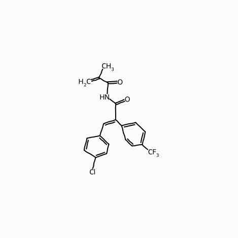 C=C(C)C(=O)NC(=O)/C(=C/c1ccc(Cl)cc1)c1ccc(C(F)(F)F)cc1